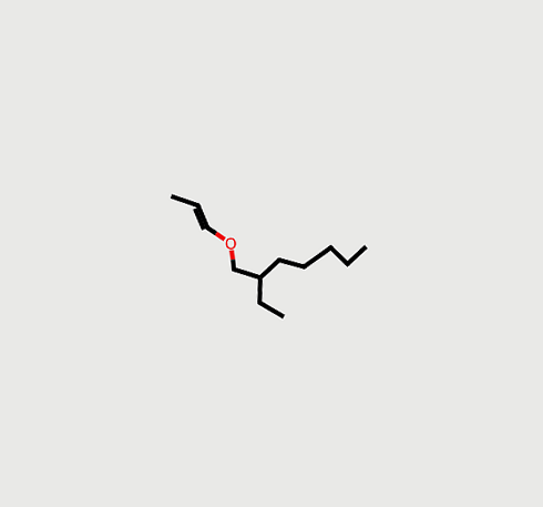 CC=COCC(CC)CCCCC